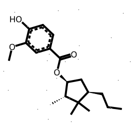 CCC[C@@H]1C[C@H](OC(=O)c2ccc(O)c(OC)c2)[C@@H](C)C1(C)C